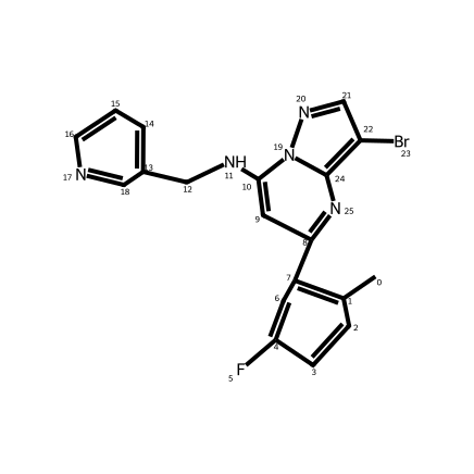 Cc1ccc(F)cc1-c1cc(NCc2cccnc2)n2ncc(Br)c2n1